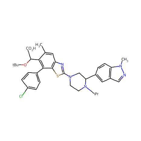 Cc1cc2nc(N3CCN(C(C)C)C(c4ccc5c(cnn5C)c4)C3)sc2c(-c2ccc(Cl)cc2)c1C(OC(C)(C)C)C(=O)O